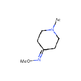 CON=C1CCN(C(C)=O)CC1